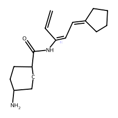 C=C/C(=C\C=C1CCCC1)NC(=O)C1CCC(N)CC1